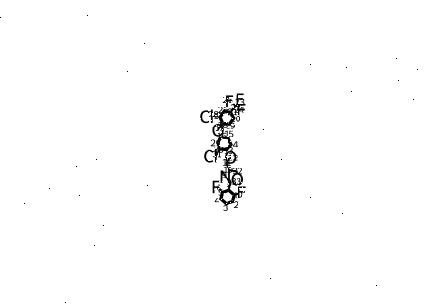 Fc1cccc(F)c1C1=NC(COc2ccc(Oc3ccc(C(F)(F)F)cc3Cl)cc2Cl)CO1